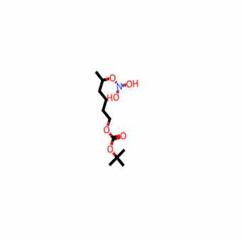 CC(CCCCOC(=O)OC(C)(C)C)ON(O)O